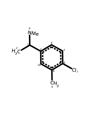 CNC(C)c1ccc(Cl)c(C)c1